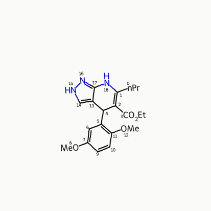 CCCC1=C(C(=O)OCC)C(c2cc(OC)ccc2OC)c2c[nH]nc2N1